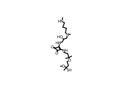 CNCCCCN(C)CC(O)CNc1c(NCCC(C)(C)OCCC(C)(S)OC)c(=O)c1=O